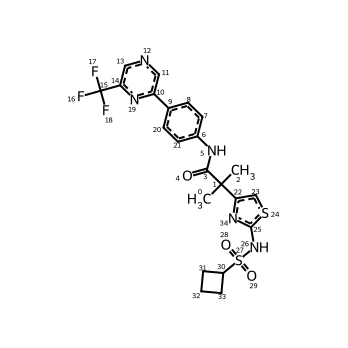 CC(C)(C(=O)Nc1ccc(-c2cncc(C(F)(F)F)n2)cc1)c1csc(NS(=O)(=O)C2CCC2)n1